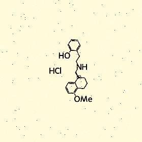 COc1cccc2c1CCC[C@@H]2CNCCc1ccccc1O.Cl